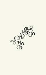 C=CC(=O)N1CCCN(c2ncc3c(n2)N(C)C(=O)N(c2c(Cl)c(OC)cc(OC)c2Cl)C3)C2CN(C(=O)C3CCCCN3C)CC21